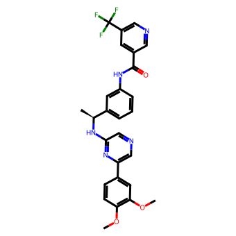 COc1ccc(-c2cncc(N[C@@H](C)c3cccc(NC(=O)c4cncc(C(F)(F)F)c4)c3)n2)cc1OC